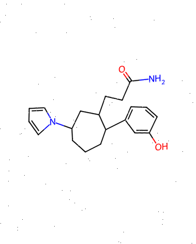 NC(=O)CCC1CC(n2cccc2)CCCC1c1cccc(O)c1